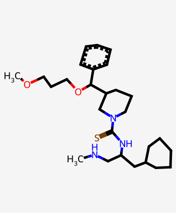 CNCC(CC1CCCCC1)NC(=S)N1CCCC(C(OCCCOC)c2ccccc2)C1